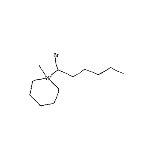 CCCCCC(Br)[N+]1(C)CCCCC1